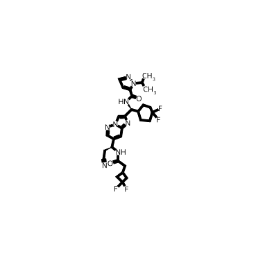 CC(C)n1nccc1C(=O)N[C@H](c1cn2ncc([C@H](CC#N)NC(=O)CC3CC(F)(F)C3)cc2n1)C1CCC(F)(F)CC1